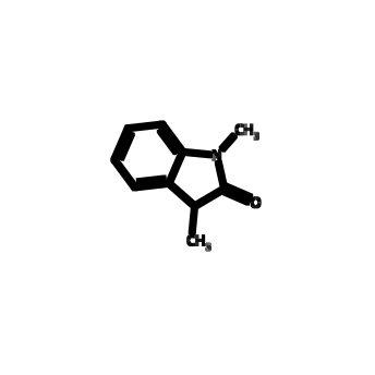 CC1C(=O)N(C)c2ccccc21